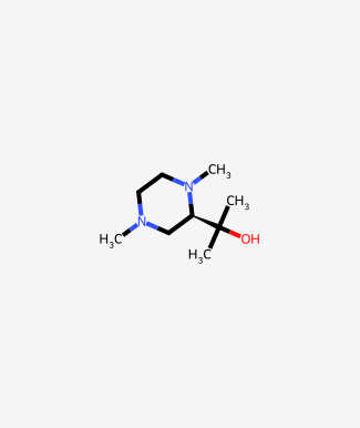 CN1CCN(C)[C@@H](C(C)(C)O)C1